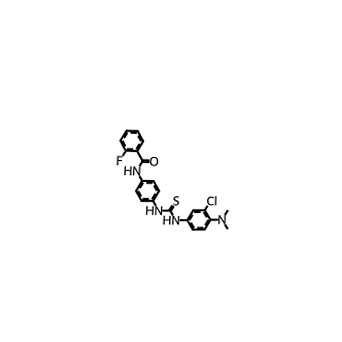 CN(C)c1ccc(NC(=S)Nc2ccc(NC(=O)c3ccccc3F)cc2)cc1Cl